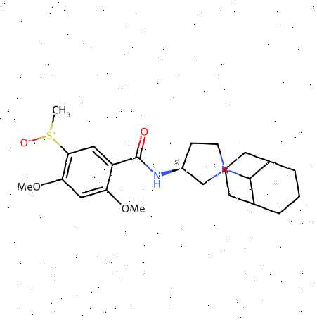 COc1cc(OC)c([S+](C)[O-])cc1C(=O)N[C@H]1CCN(C2C3CCCC2CCC3)C1